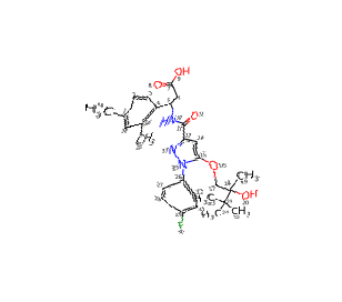 Cc1ccc(C(CC(=O)O)NC(=O)c2cc(OCC(C)(O)C(C)(C)C)n(-c3ccc(F)cc3)n2)c(C)c1